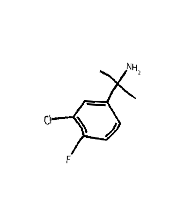 CC(C)(N)c1ccc(F)c(Cl)c1